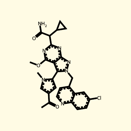 COc1nc(C(C(N)=O)C2CC2)nc2nn(Cc3ccnc4ccc(Cl)cc34)c(-c3cc(C(C)=O)cn3C)c12